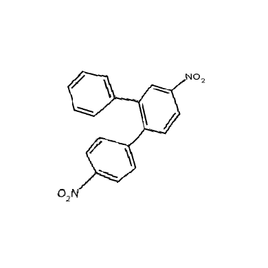 O=[N+]([O-])c1ccc(-c2ccc([N+](=O)[O-])cc2-c2ccccc2)cc1